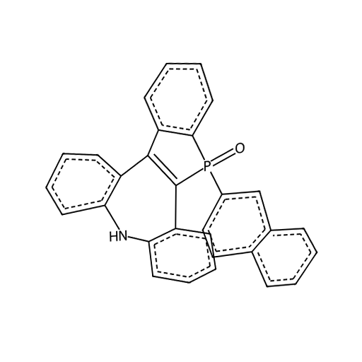 O=P1(c2ccc3ccccc3c2)C2=C(c3ccccc3Nc3ccccc32)c2ccccc21